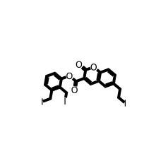 O=C(Oc1cccc(CI)c1CI)c1cc2cc(CCI)ccc2oc1=O